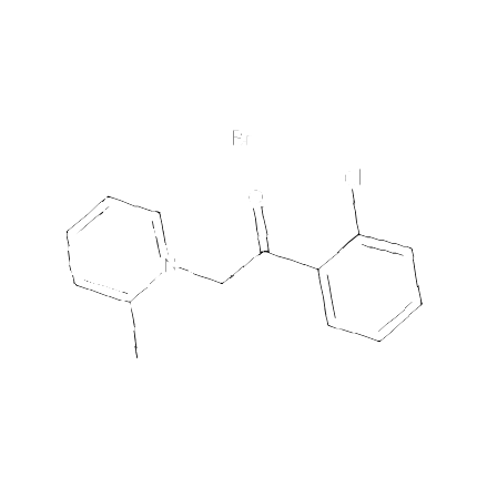 Cc1cccc[n+]1CC(=O)c1ccccc1Cl.[Br-]